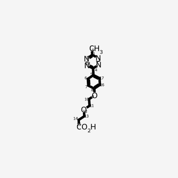 Cc1nnc(-c2ccc(OCCOCCC(=O)O)cc2)nn1